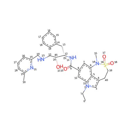 CCn1cc2c3c(cc(C(=O)N[C@@H](Cc4ccccc4)[C@H](O)CNCc4cccc(C)n4)cc31)N(C)S(=O)(=O)CC2